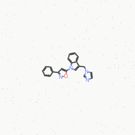 c1ccc(-c2cc(-n3cc(Cn4ccnc4)c4ccccc43)on2)cc1